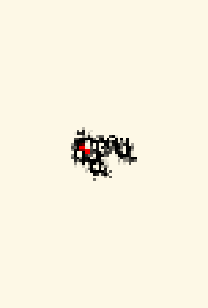 Cc1ccc(-c2ncccn2)c(C(=O)N2CC3C[C@@H]3C[C@H]2CCOc2ccc(F)cn2)n1